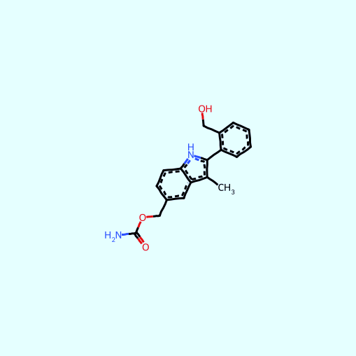 Cc1c(-c2ccccc2CO)[nH]c2ccc(COC(N)=O)cc12